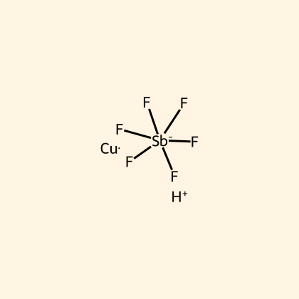 [Cu].[F][Sb-]([F])([F])([F])([F])[F].[H+]